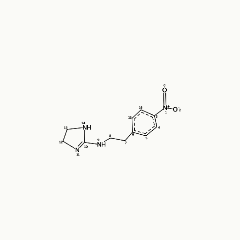 O=[N+]([O-])c1ccc(CCNC2=NCCN2)cc1